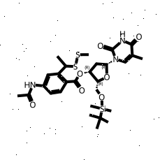 CSSC(C)c1cc(NC(C)=O)ccc1C(=O)O[C@@H]1C[C@H](n2cc(C)c(=O)[nH]c2=O)O[C@@H]1CO[Si](C)(C)C(C)(C)C